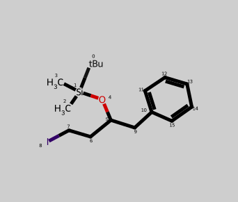 CC(C)(C)[Si](C)(C)OC(CCI)Cc1ccccc1